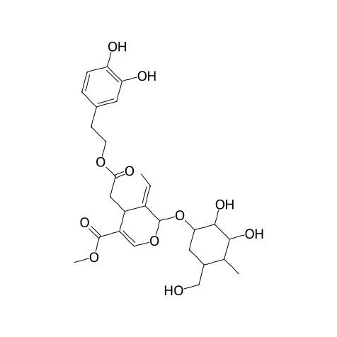 C/C=C1/C(OC2CC(CO)C(C)C(O)C2O)OC=C(C(=O)OC)C1CC(=O)OCCc1ccc(O)c(O)c1